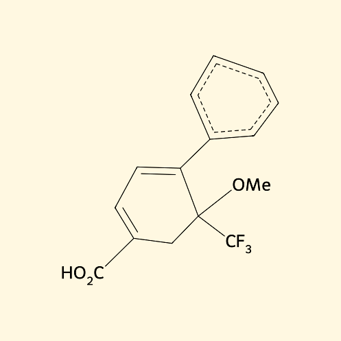 COC1(C(F)(F)F)CC(C(=O)O)=CC=C1c1ccccc1